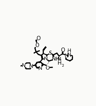 C=CC1C(CC(C)(C)COC=O)=C(c2cc(N3CCN(C)CC3)cnc2[C@H](C)OC)N(CC)C1SC(=N)C[C@H](N)C(=O)N1CCCCN1